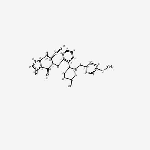 COc1ccc(CN2CC(F)CCC2c2ccccc2CN2C(=O)c3[nH]cnc3NC2=C=S)cc1